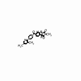 Cc1cnc(N2CCN(C(=O)c3ccc(C4(C(C)C)C(=O)N(C)C(=O)N4C)cc3)CC2)c(C)c1